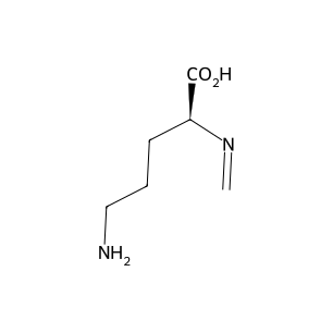 C=N[C@@H](CCCN)C(=O)O